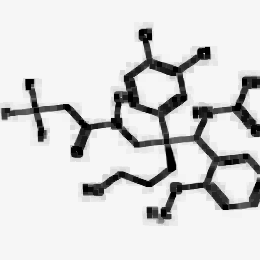 COc1ccccc1C(NC(=O)O)[C@](CCCO)(CN(C)C(=O)CC(F)(F)F)c1ccc(Cl)c(Cl)c1